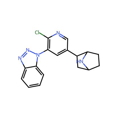 Clc1ncc(C2CC3CCC2N3)cc1-n1nnc2ccccc21